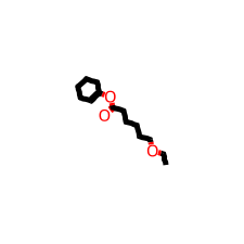 CCOCCCCCC(=O)OC1=CCCCC1